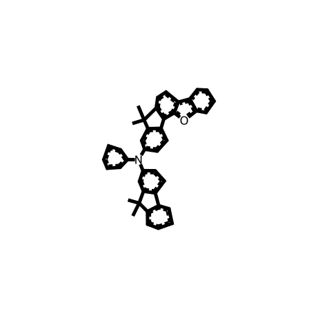 CC1(C)c2ccccc2-c2ccc(N(c3ccccc3)c3ccc4c(c3)C(C)(C)c3ccc5c(oc6ccccc65)c3-4)cc21